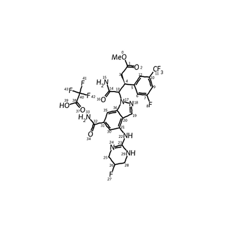 COC(=O)C[C@@H](c1cc(F)cc(C(F)(F)F)c1)C(C(N)=O)n1ncc2c(NC3=NCC(F)CN3)cc(C(N)=O)cc21.O=C(O)C(F)(F)F